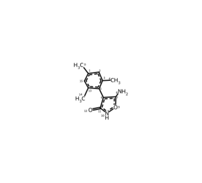 Cc1cc(C)c(-c2c(N)o[nH]c2=O)c(C)c1